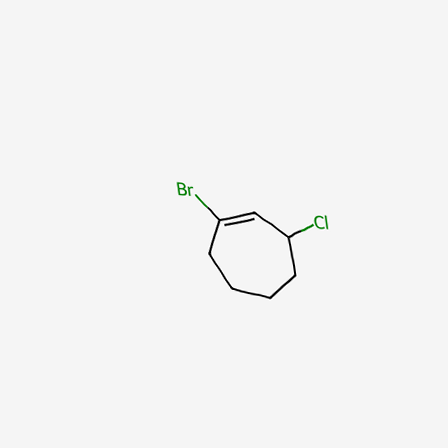 ClC1C=C(Br)CCCC1